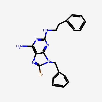 Nc1nc(NCCc2ccccc2)nc2c1nc(Br)n2Cc1ccccc1